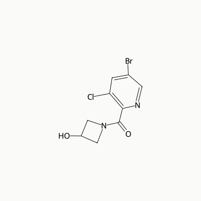 O=C(c1ncc(Br)cc1Cl)N1CC(O)C1